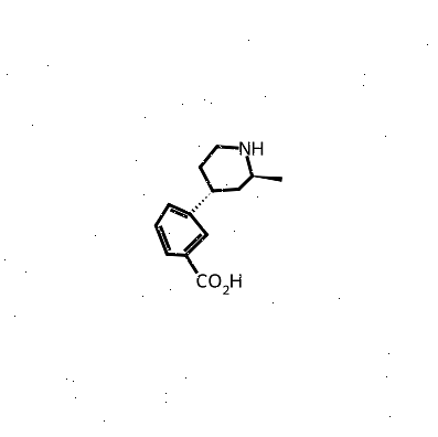 C[C@H]1C[C@H](c2cccc(C(=O)O)c2)CCN1